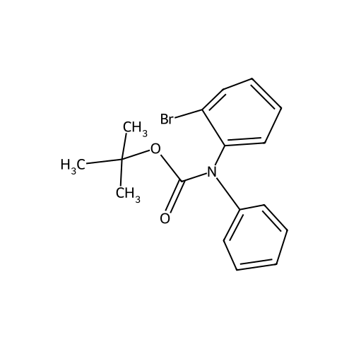 CC(C)(C)OC(=O)N(c1ccccc1)c1ccccc1Br